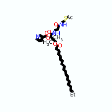 CCC=CCC=CCC=CCC=CCC=CCC=CCC(=O)OCC(C)(C)[C@@H](OC(=O)c1cccnc1)C(=O)NCCC(=O)NCCSC(C)=O